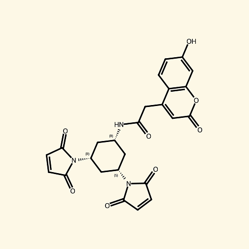 O=C(Cc1cc(=O)oc2cc(O)ccc12)N[C@H]1C[C@@H](N2C(=O)C=CC2=O)C[C@@H](N2C(=O)C=CC2=O)C1